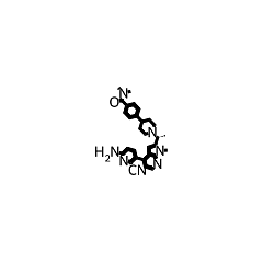 C[C@H](c1cc2c(-c3ccc(N)nc3C#N)ccnc2n1C)N1CCC(c2ccc(C(=O)N(C)C)cc2)CC1